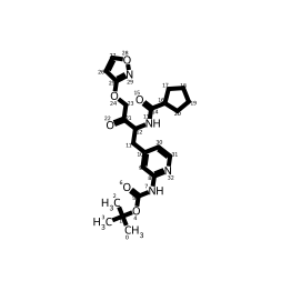 CC(C)(C)OC(=O)Nc1cc(CC(NC(=O)C2CCCC2)C(=O)COc2ccon2)ccn1